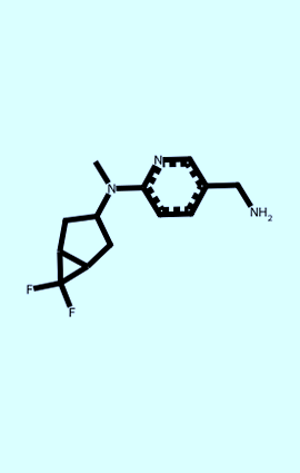 CN(c1ccc(CN)cn1)C1CC2C(C1)C2(F)F